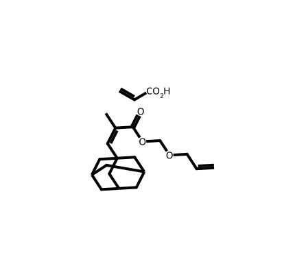 C=CC(=O)O.C=CCOCOC(=O)C(C)=CC12CC3CC(CC(C3)C1)C2